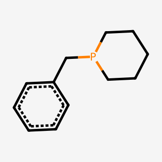 c1ccc(CP2CCCCC2)cc1